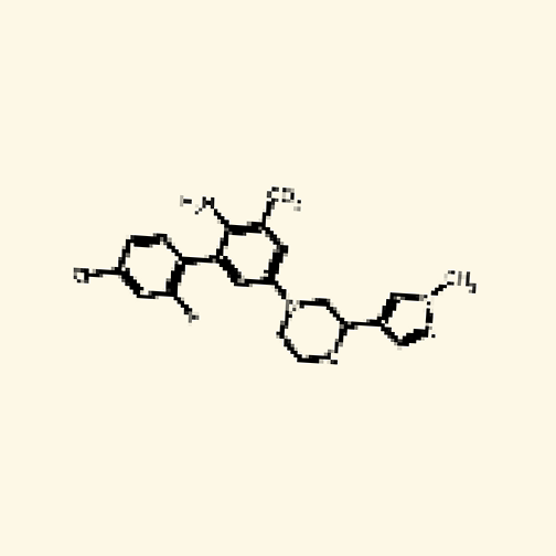 Cn1cc(C2CN(c3cc(C(=O)O)c(N)c(-c4ccc(Cl)cc4F)c3)CCO2)cn1